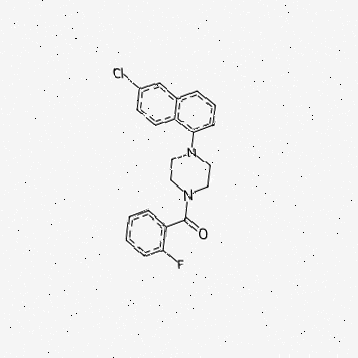 O=C(c1ccccc1F)N1CCN(c2cccc3cc(Cl)ccc23)CC1